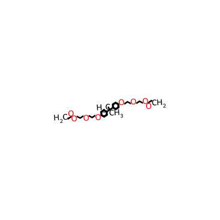 C=CC(=O)OCCCOCCCOc1ccc(C(C)(C)c2ccc(OCCCOCCCOC(=O)C=C)cc2)cc1